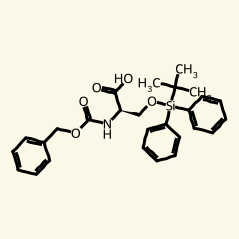 CC(C)(C)[Si](OC[C@@H](NC(=O)OCc1ccccc1)C(=O)O)(c1ccccc1)c1ccccc1